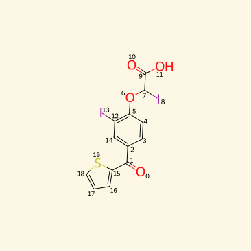 O=C(c1ccc(OC(I)C(=O)O)c(I)c1)c1cccs1